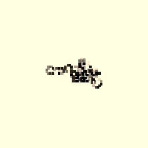 CC(C)C[C@@H](NC(=O)N1CCCCCC1)C(=O)NC(Cc1ccc(OCc2ccccc2)cc1)C(=O)OC(C)(C)C